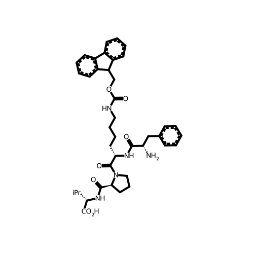 CC(C)[C@H](NC(=O)[C@@H]1CCCN1C(=O)[C@H](CCCCNC(=O)OCC1c2ccccc2-c2ccccc21)NC(=O)[C@@H](N)Cc1ccccc1)C(=O)O